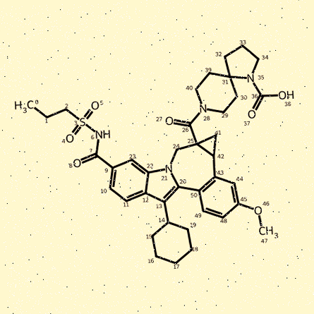 CCCS(=O)(=O)NC(=O)c1ccc2c(C3CCCCC3)c3n(c2c1)CC1(C(=O)N2CCC4(CCCN4C(=O)O)CC2)CC1c1cc(OC)ccc1-3